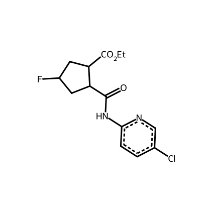 CCOC(=O)C1CC(F)CC1C(=O)Nc1ccc(Cl)cn1